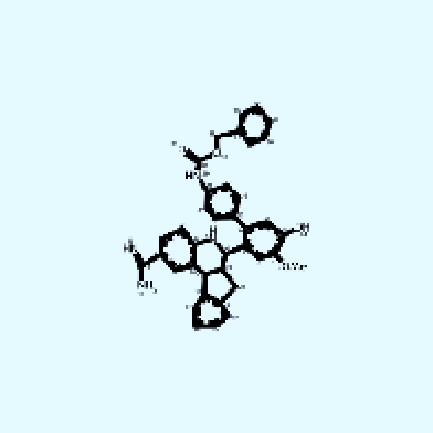 COc1cc(C2Nc3ccc(C(=N)N)cc3C3c4ccccc4CC23)c(-c2ccc(NC(=O)OCc3ccccc3)cc2)cc1O